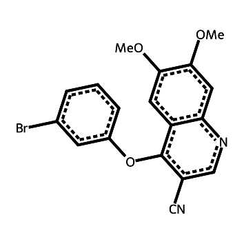 COc1cc2ncc(C#N)c(Oc3cccc(Br)c3)c2cc1OC